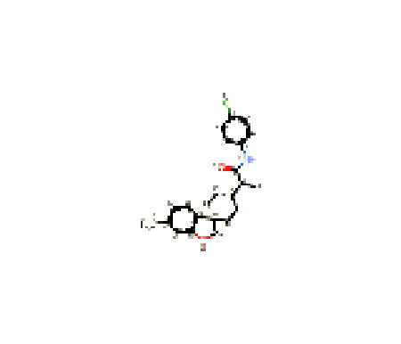 C[C@H](C(=O)Nc1ccc(Cl)cc1)[C@H]1CC[C@]2(CC1)COc1cc(C(F)(F)F)ccc12